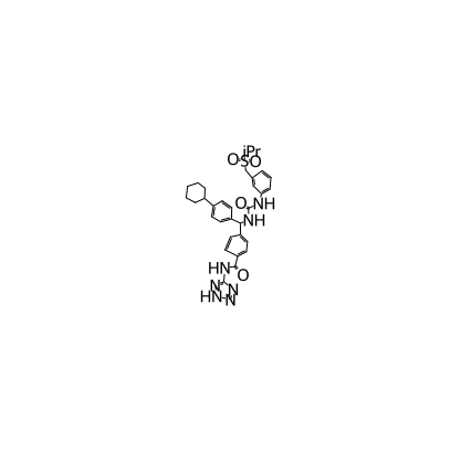 CC(C)S(=O)(=O)Cc1cccc(NC(=O)NC(c2ccc(C(=O)Nc3nn[nH]n3)cc2)c2ccc(C3CCCCC3)cc2)c1